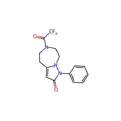 O=C(N1CCc2cc(=O)n(-c3ccccc3)n2CC1)C(F)(F)F